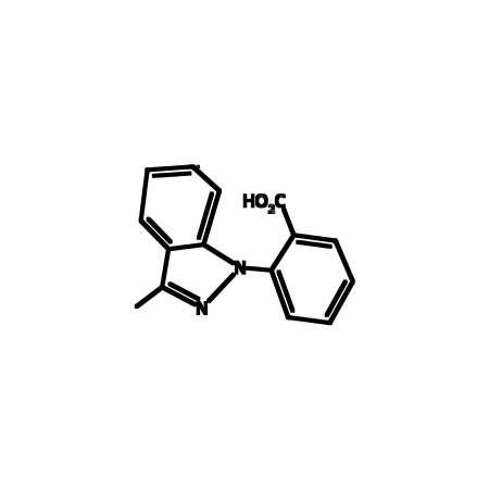 Cc1nn(-c2ccccc2C(=O)O)c2c[c]ccc12